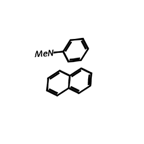 CNc1ccccc1.c1ccc2ccccc2c1